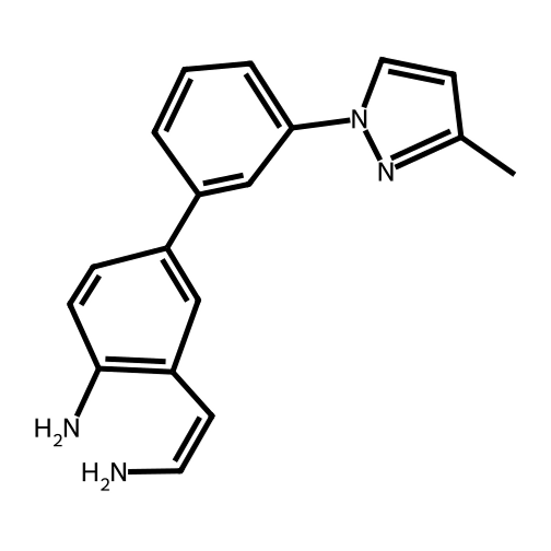 Cc1ccn(-c2cccc(-c3ccc(N)c(/C=C\N)c3)c2)n1